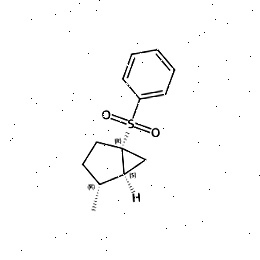 C[C@@H]1CC[C@@]2(S(=O)(=O)c3ccccc3)C[C@@H]12